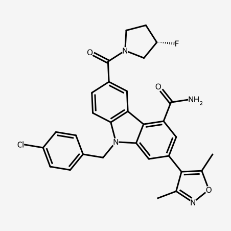 Cc1noc(C)c1-c1cc(C(N)=O)c2c3cc(C(=O)N4CC[C@H](F)C4)ccc3n(Cc3ccc(Cl)cc3)c2c1